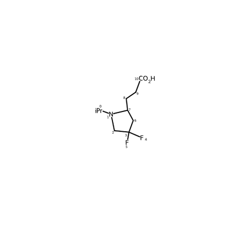 CC(C)N1CC(F)(F)CC1CCC(=O)O